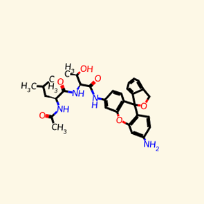 CC(=O)N[C@@H](CC(C)C)C(=O)N[C@H](C(=O)Nc1ccc2c(c1)Oc1cc(N)ccc1C21OCc2ccccc21)[C@@H](C)O